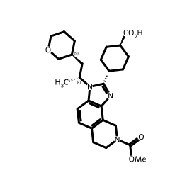 COC(=O)N1CCc2ccc3c(nc([C@H]4CC[C@H](C(=O)O)CC4)n3[C@H](C)C[C@@H]3CCCOC3)c2C1